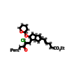 CCCC(C)CC(=O)C(Cl)=CC1C(OC2CCCCO2)CC2C=C(C=CCCC(=O)OCC)CC21